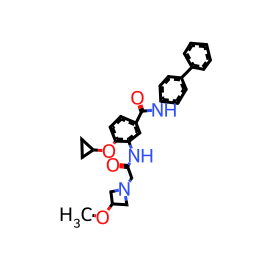 COC1CN(CC(=O)Nc2cc(C(=O)Nc3ccc(-c4ccccc4)cc3)ccc2OC2CC2)C1